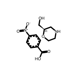 O=C(O)c1ccc([N+](=O)[O-])cc1.OC[C@H]1CNCCO1